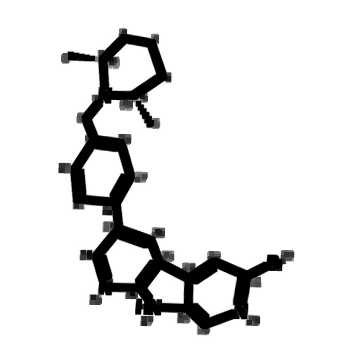 C[C@@H]1CCC[C@H](C)N1Cc1ccc(-c2cnc3[nH]c4cnc(Br)cc4c3c2)cc1